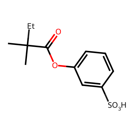 CCC(C)(C)C(=O)Oc1cccc(S(=O)(=O)O)c1